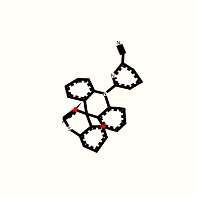 N#Cc1cccc(N2c3ccccc3C3(c4ccccc4Sc4ccccc43)c3ccccc32)n1